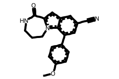 COc1ccc(-c2cc(C#N)cc3cc4n(c23)CCCNC4=O)cc1